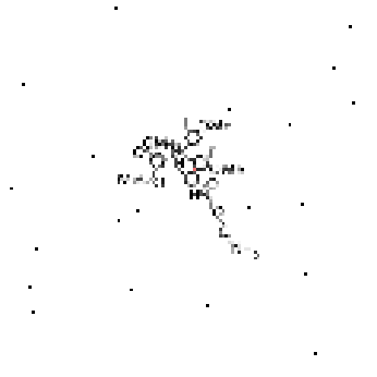 COC(=O)c1cc(C(=O)OC)cc(-c2nc(-c3ccc(OC)c(F)c3)c(-c3ccc(OC)c(F)c3)n2Cc2ccc(C(=O)NCCOCCOCCN)cc2)c1